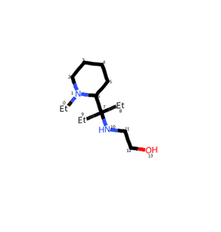 CCN1CCCCC1C(CC)(CC)NCCO